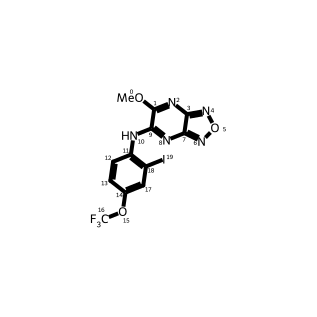 COc1nc2nonc2nc1Nc1ccc(OC(F)(F)F)cc1I